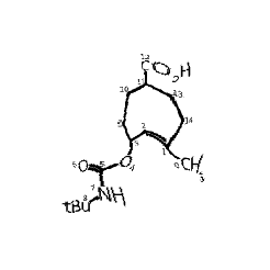 C/C1=C\C(OC(=O)NC(C)(C)C)CCC(C(=O)O)CC1